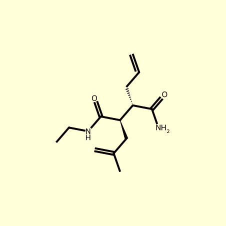 C=CC[C@H](C(N)=O)[C@@H](CC(=C)C)C(=O)NCC